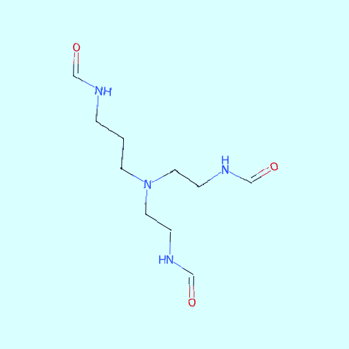 O=CNCCCN(CCNC=O)CCNC=O